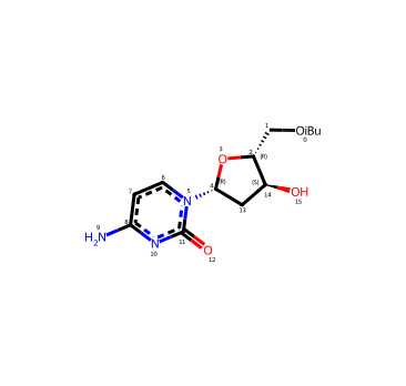 CC(C)COC[C@H]1O[C@@H](n2ccc(N)nc2=O)C[C@@H]1O